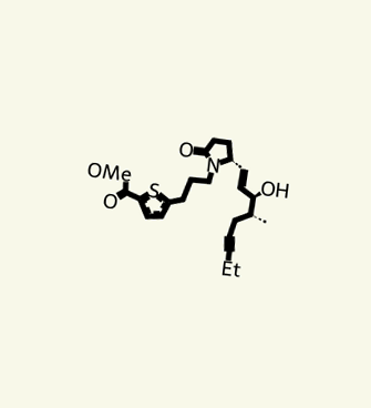 CCC#CC[C@@H](C)[C@H](O)C=C[C@H]1CCC(=O)N1CCCc1ccc(C(=O)OC)s1